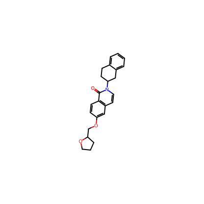 O=c1c2ccc(OCC3CCCO3)cc2ccn1C1CCc2ccccc2C1